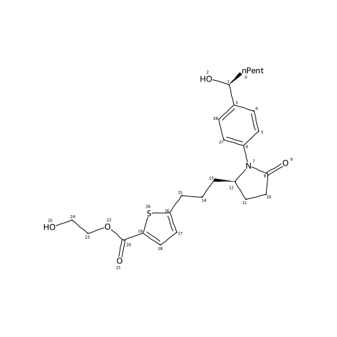 CCCCC[C@H](O)c1ccc(N2C(=O)CC[C@H]2CCCc2ccc(C(=O)OCCO)s2)cc1